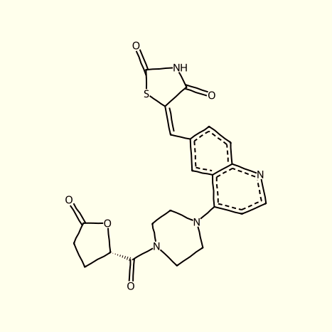 O=C1CC[C@@H](C(=O)N2CCN(c3ccnc4ccc(C=C5SC(=O)NC5=O)cc34)CC2)O1